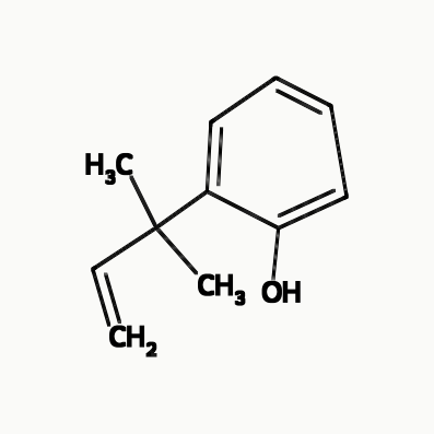 C=CC(C)(C)c1ccccc1O